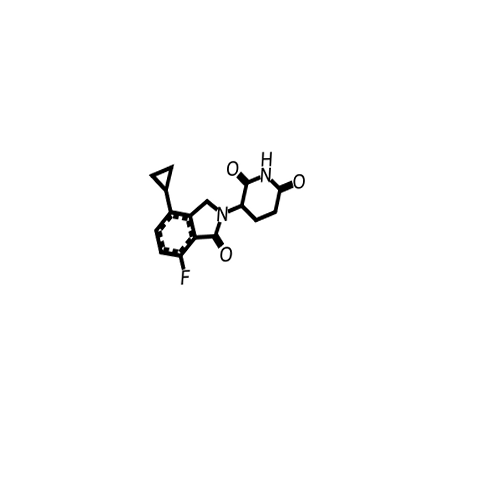 O=C1CCC(N2Cc3c(C4CC4)ccc(F)c3C2=O)C(=O)N1